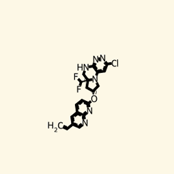 C=Cc1cnc2nc(O[C@H]3CN4c5cc(Cl)nnc5NC[C@@]4(C(F)F)C3)ccc2c1